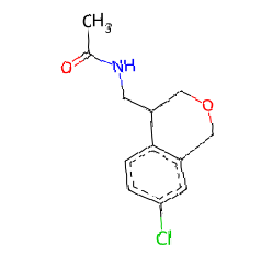 CC(=O)NCC1COCc2cc(Cl)ccc21